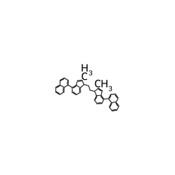 CC1=Cc2c(-c3cccc4ccccc34)cccc2C1CCC1C(C)=Cc2c(-c3cccc4ccccc34)cccc21